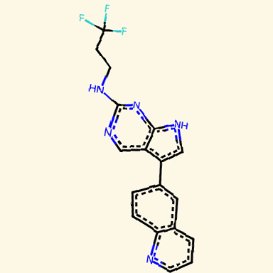 FC(F)(F)CCNc1ncc2c(-c3ccc4ncccc4c3)c[nH]c2n1